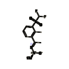 C/C(=N\[S@@+]([O-])C(C)(C)C)c1cccc(S(=O)(=O)C(F)F)c1C